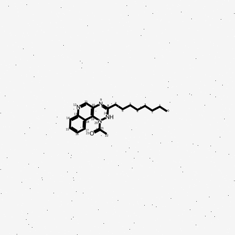 CCCCCCCCC1=Nc2cnc3ccccc3c2N(C(C)=O)N1